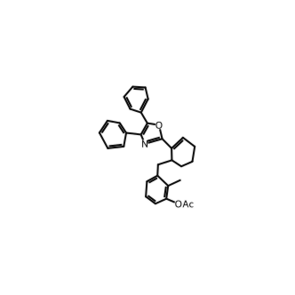 CC(=O)Oc1cccc(CC2CCCC=C2c2nc(-c3ccccc3)c(-c3ccccc3)o2)c1C